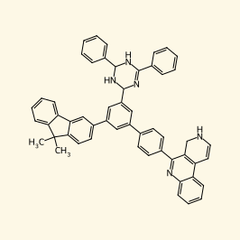 CC1(C)c2ccccc2-c2cc(-c3cc(-c4ccc(-c5nc6ccccc6c6c5CNC=C6)cc4)cc(C4N=C(c5ccccc5)NC(c5ccccc5)N4)c3)ccc21